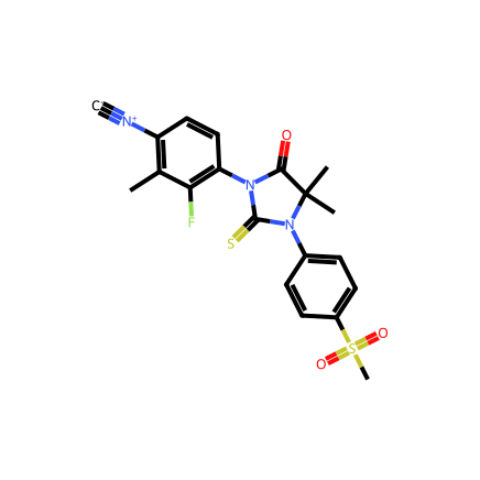 [C-]#[N+]c1ccc(N2C(=O)C(C)(C)N(c3ccc(S(C)(=O)=O)cc3)C2=S)c(F)c1C